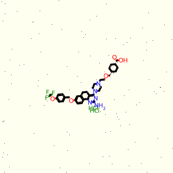 Cl.Cl.Nc1nc2c(c(N3CCN(CCOC[C@H]4CC[C@@H](C(=O)O)CC4)CC3)n1)CCc1cc(OCc3ccc(OC(F)(F)F)cc3)ccc1-2